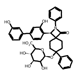 O=C(O)C1O[C@@H](OC2(c3ccccc3)CCC3(CC2)C(=O)N(c2ccccc2)[C@@H]3c2ccc(-c3cccc(O)c3)cc2O)C(O)[C@@H](O)[C@@H]1O